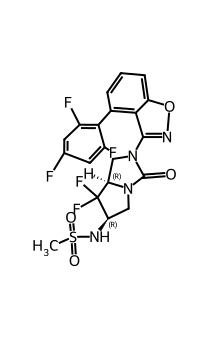 CS(=O)(=O)N[C@@H]1CN2C(=O)N(c3noc4cccc(-c5c(F)cc(F)cc5F)c34)C[C@@H]2C1(F)F